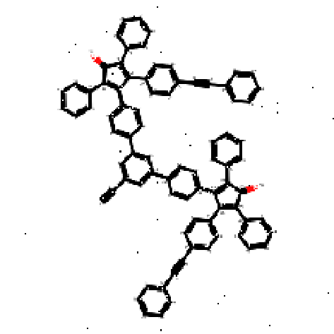 C#Cc1cc(-c2ccc(C3=C(c4ccccc4)C(=O)C(c4ccccc4)=C3c3ccc(C#Cc4ccccc4)cc3)cc2)cc(-c2ccc(C3=C(c4ccccc4)C(=O)C(c4ccccc4)=C3c3ccc(C#Cc4ccccc4)cc3)cc2)c1